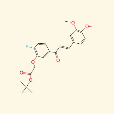 COc1ccc(/C=C/C(=O)c2ccc(F)c(OCC(=O)OC(C)(C)C)c2)cc1OC